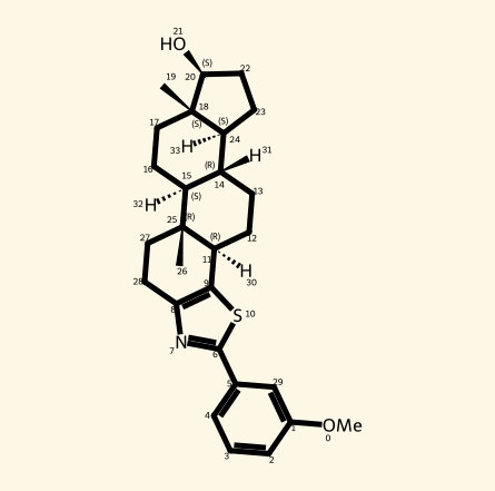 COc1cccc(-c2nc3c(s2)[C@@H]2CC[C@@H]4[C@H](CC[C@]5(C)[C@@H](O)CC[C@@H]45)[C@@]2(C)CC3)c1